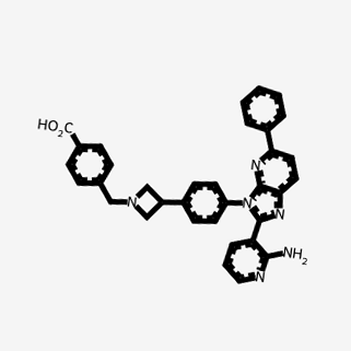 Nc1ncccc1-c1nc2ccc(-c3ccccc3)nc2n1-c1ccc(C2CN(Cc3ccc(C(=O)O)cc3)C2)cc1